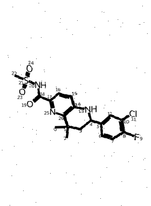 CC1(C)CC(c2ccc(F)c(Cl)c2)Nc2ccc(C(=O)NS(C)(=O)=O)nc21